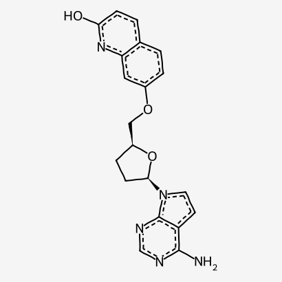 Nc1ncnc2c1ccn2[C@H]1CC[C@@H](COc2ccc3ccc(O)nc3c2)O1